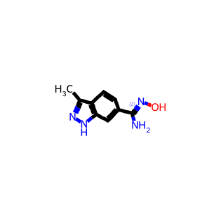 Cc1n[nH]c2cc(/C(N)=N/O)ccc12